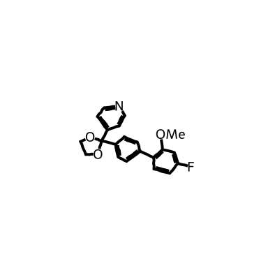 COc1cc(F)ccc1-c1ccc(C2(c3ccncc3)OCCO2)cc1